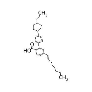 CCCCCCC=Cc1ccc(C(=O)O)c(-c2ccc(C3CCC(CCC)CC3)cc2)c1